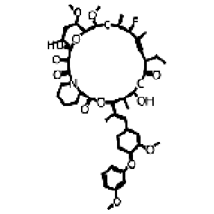 CCC1/C=C(\C)C(F)C(C)CC(OC)C2OC(O)(C(=O)C(=O)N3CCCCC3C(=O)OC(C(C)=CC3CCC(Oc4cccc(OC)c4)C(OC)C3)C(C)C(O)CC1=O)C(C)CC2OC